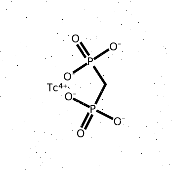 O=P([O-])([O-])CP(=O)([O-])[O-].[Tc+4]